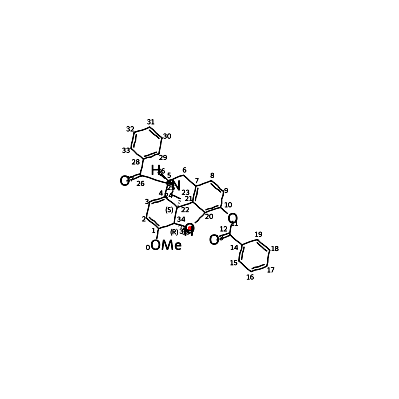 COC1=CC=C2[C@@H]3Cc4ccc(OC(=O)c5ccccc5)c5c4[C@@]2(CCN3C(=O)c2ccccc2)[C@H]1O5